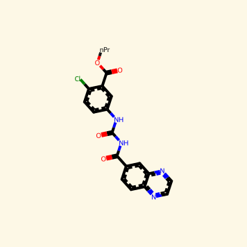 CCCOC(=O)c1cc(NC(=O)NC(=O)c2ccc3nccnc3c2)ccc1Cl